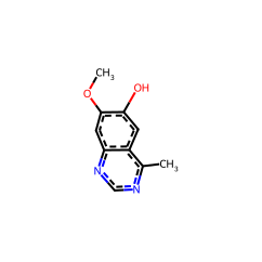 COc1cc2ncnc(C)c2cc1O